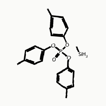 C[SiH3].Cc1ccc(OP(=O)(Oc2ccc(C)cc2)Oc2ccc(C)cc2)cc1